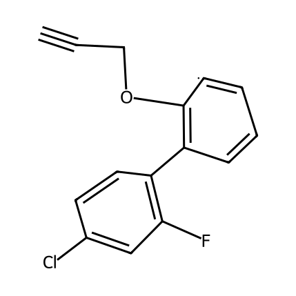 C#CCOc1[c]cccc1-c1ccc(Cl)cc1F